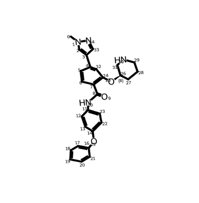 Cn1cc(-c2ccc(C(=O)Nc3ccc(Oc4ccccc4)cc3)c(O[C@@H]3CCCNC3)c2)cn1